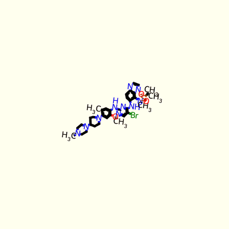 COc1cc(N2CCC(N3CCN(C)CC3)CC2)c(C)cc1Nc1ncc(Br)c(Nc2ccc3nccnc3c2N(C)S(=O)(=O)C(C)C)n1